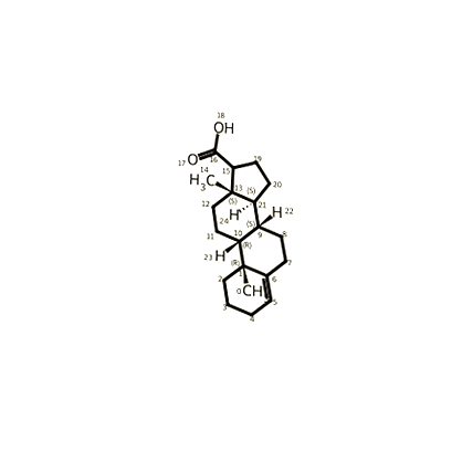 C[C@]12CCCC=C1CC[C@@H]1[C@H]2CC[C@]2(C)C(C(=O)O)CC[C@@H]12